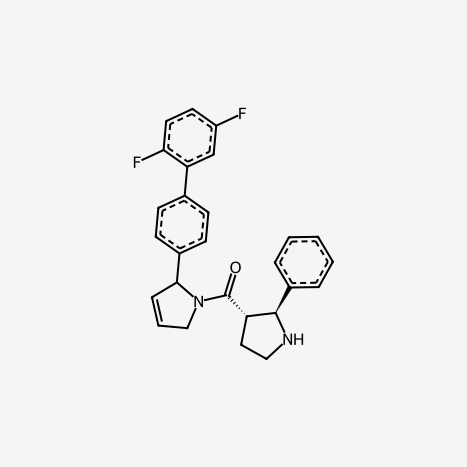 O=C([C@H]1CCN[C@@H]1c1ccccc1)N1CC=CC1c1ccc(-c2cc(F)ccc2F)cc1